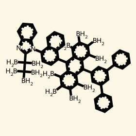 Bc1c(B)c(B)c2c(-c3ccc(-n4c(C(B)(B)C(B)(B)B)nc5ccccc54)c4ccccc34)c3c(B)c(B)c(B)c(B)c3c(-c3cc(-c4ccccc4)cc(-c4ccccc4)c3)c2c1B